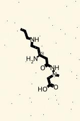 CCCNCC[C@H](N)CC(=O)NN(C)CC(=O)O